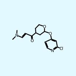 CN(C)C=CC(=O)C1CCOC(Oc2ccnc(Cl)c2)C1